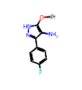 CC(C)Oc1[nH]nc(-c2ccc(F)cc2)c1N